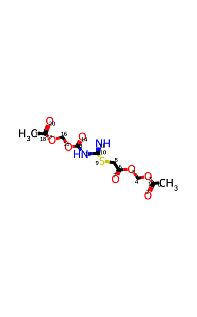 CC(=O)OCOC(=O)CSC(=N)NC(=O)OCOC(C)=O